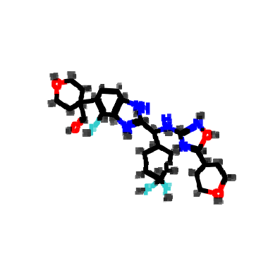 O=CC1(c2ccc3[nH]c(C(Nc4noc(C5CCOCC5)n4)C4CCC(F)(F)CC4)nc3c2F)CCOCC1